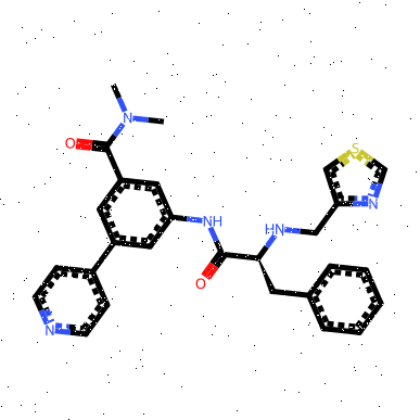 CN(C)C(=O)c1cc(NC(=O)[C@H](Cc2ccccc2)NCc2cscn2)cc(-c2ccncc2)c1